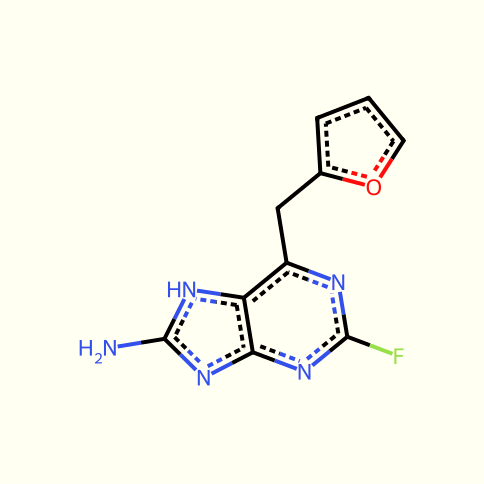 Nc1nc2nc(F)nc(Cc3ccco3)c2[nH]1